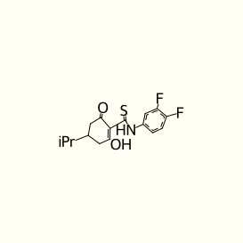 CC(C)C1CC(=O)C(C(=S)Nc2ccc(F)c(F)c2)=C(O)C1